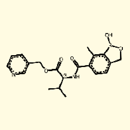 Cc1c(C(=O)N[C@H](C(=O)OCc2cccnc2)C(C)C)ccc2c1B(O)OC2